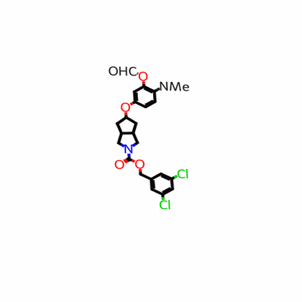 CNc1ccc(OC2CC3CN(C(=O)OCc4cc(Cl)cc(Cl)c4)CC3C2)cc1OC=O